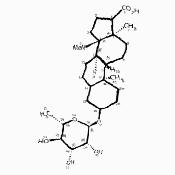 CN[C@@]12CCC(C(=O)O)[C@@]1(C)CC[C@H]1[C@H]2CCC2CC(O[C@@H]3O[C@@H](C)[C@H](O)[C@@H](O)[C@H]3O)CC[C@@]21C